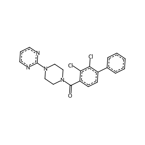 O=C(c1ccc(-c2ccccc2)c(Cl)c1Cl)N1CCN(c2ncccn2)CC1